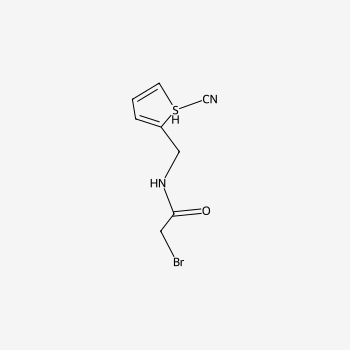 N#C[SH]1C=CC=C1CNC(=O)CBr